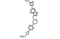 Cn1cc(-c2cnc3c(nnn3CC3CN(c4ncc(N5CC(CO)C5)cn4)CCO3)n2)cn1